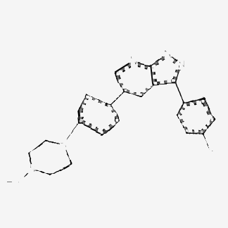 CCc1ccc(-c2n[nH]c3ncc(-c4ccc(N5CCN(C)CC5)cc4)cc23)cc1